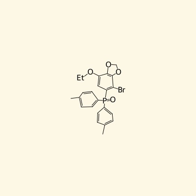 CCOc1cc(P(=O)(c2ccc(C)cc2)c2ccc(C)cc2)c(Br)c2c1OCO2